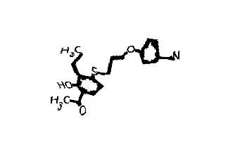 CCCc1c(SCCCOc2ccc(C#N)cc2)ccc(C(C)=O)c1O